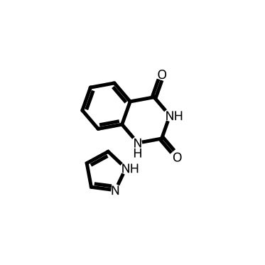 O=c1[nH]c(=O)c2ccccc2[nH]1.c1cn[nH]c1